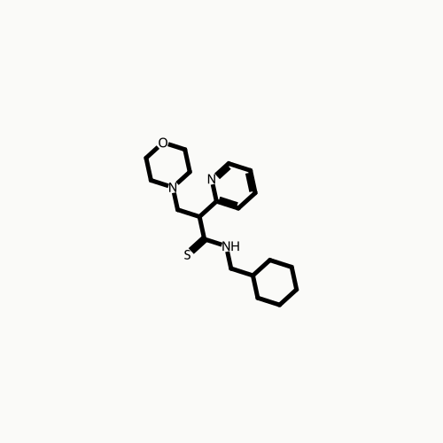 S=C(NCC1CCCCC1)C(CN1CCOCC1)c1ccccn1